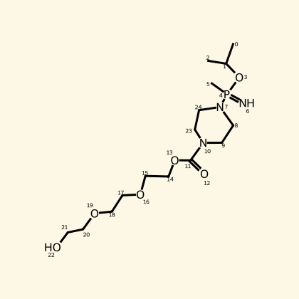 CC(C)OP(C)(=N)N1CCN(C(=O)OCCOCCOCCO)CC1